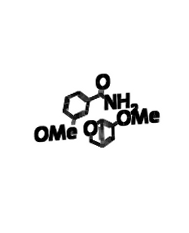 COc1cc2ccc1OC2.COc1cccc(C(N)=O)c1